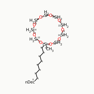 CCCCCCCCCCCCCCCCCC[Si]1(C)O[SiH2]O[SiH2]O[SiH2]O[SiH2]O[SiH2]O[SiH2]O[SiH2]O[SiH2]O1